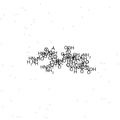 CC(C)C[C@H](NC(=O)[C@@H]1CCCN1C(=O)[C@H](CCCNC(=N)N)NC(=O)[C@H](C)NC(=O)[C@H](C)NC(=O)CNC(=O)[C@H](CCC(=O)O)NC(=O)[C@H](CO)NC(=O)[C@H](C)NC(=O)[C@@H]1CCCN1C(=O)CNC(=O)CNC(=O)[C@H](CCC(=O)O)NC(=O)[C@@H]1CCCN1C(=O)[C@H](CCC(=O)O)NC(=O)[C@H](C)N)C(=O)N1CCC[C@H]1C(=O)N[C@@H](CCCNC(=N)N)C(=O)O